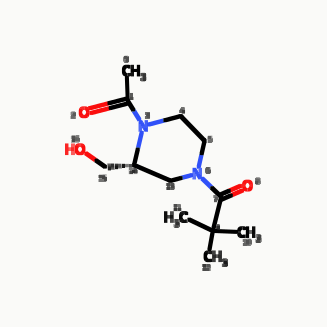 CC(=O)N1CCN(C(=O)C(C)(C)C)C[C@@H]1CO